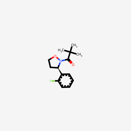 CC(C)(C)C(=O)N1OCC[C@@H]1c1ccccc1F